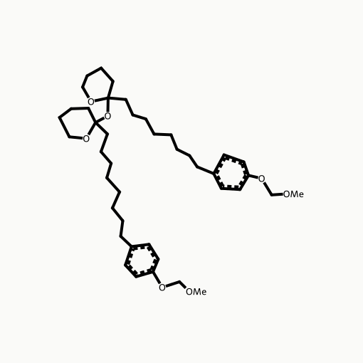 COCOc1ccc(CCCCCCCCC2(OC3(CCCCCCCCc4ccc(OCOC)cc4)CCCCO3)CCCCO2)cc1